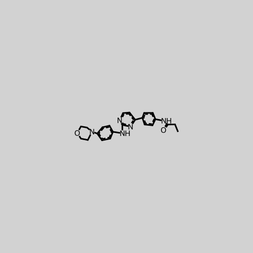 CCC(=O)Nc1ccc(-c2ccnc(Nc3ccc(N4CCOCC4)cc3)n2)cc1